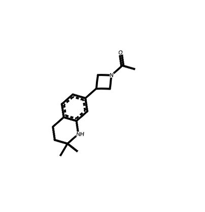 CC(=O)N1CC(c2ccc3c(c2)NC(C)(C)CC3)C1